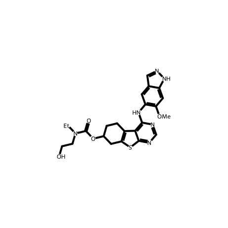 CCN(CCO)C(=O)OC1CCc2c(sc3ncnc(Nc4cc5cn[nH]c5cc4OC)c23)C1